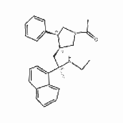 CCN[C@](C)(C[C@@H]1CN(C(C)=O)C[C@@H]1c1ccccc1)c1cccc2ccccc12